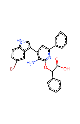 Nc1c(-c2c[nH]c3ccc(Br)cc23)cc(-c2ccccc2)nc1OC(C(=O)O)c1ccccc1